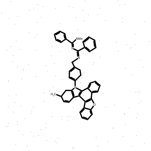 CN/C(=N\C(=N/CC1=CC=C(n2c3c(c4c5c6ccccc6oc5c5ccccc5c42)C=CC(C)C3)CC1)c1ccccc1)c1ccccc1